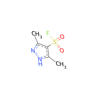 Cc1n[nH]c(C)c1S(=O)(=O)F